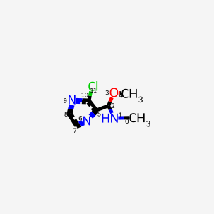 CNC(OC)c1nccnc1Cl